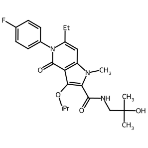 CCc1cc2c(c(OC(C)C)c(C(=O)NCC(C)(C)O)n2C)c(=O)n1-c1ccc(F)cc1